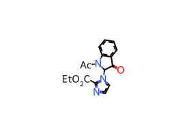 CCOC(=O)c1nccn1C1C(=O)c2ccccc2N1C(C)=O